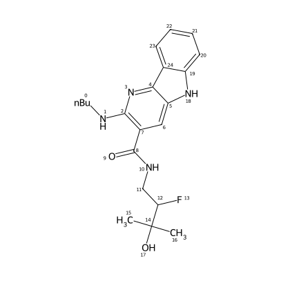 CCCCNc1nc2c(cc1C(=O)NCC(F)C(C)(C)O)[nH]c1ccccc12